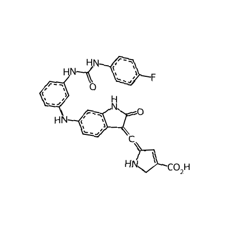 O=C(Nc1ccc(F)cc1)Nc1cccc(Nc2ccc3c(c2)NC(=O)C3=C=C2C=C(C(=O)O)CN2)c1